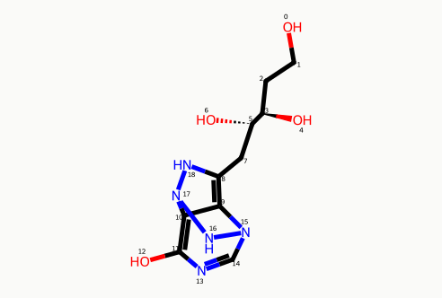 OCC[C@@H](O)[C@@H](O)CC1=C2C3=C(O)N=CN2NN3N1